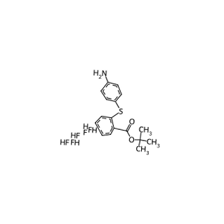 CC(C)(C)OC(=O)c1ccccc1Sc1ccc(N)cc1.F.F.F.F.F